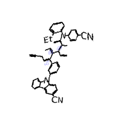 C#CC\C=C(C(=C\C)/C(C=C)=C(/C)C(=C)N(c1ccc(C#N)cc1)c1ccccc1CC)\c1cccc(-n2c3ccccc3c3cc(C#N)ccc32)c1